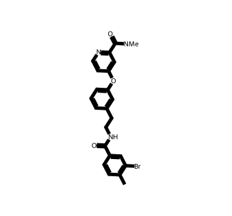 CNC(=O)c1cc(Oc2cccc(CCNC(=O)c3ccc(C)c(Br)c3)c2)ccn1